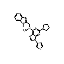 NN(Cc1nc2ccccc2[nH]1)c1nc(N2CCCC2)nc2c1ncn2-c1ccsc1